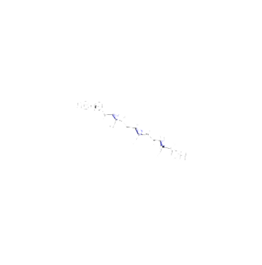 CCCCOC/C=C(\C)CC/C=C(\C)CC/C=C(\C)CO